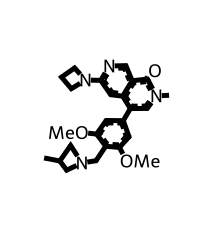 COc1cc(-c2cn(C)c(=O)c3cnc(N4CCC4)cc23)cc(OC)c1CN1CC(C)C1